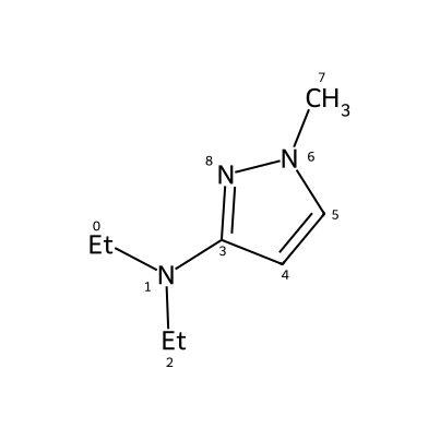 CCN(CC)c1ccn(C)n1